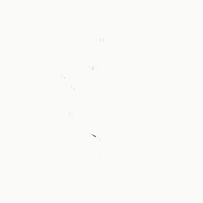 CC1C[C@H](N2CC(Oc3ccccc3Cl)=CC2=O)C(=O)N1c1ccn(C[C@@H](N)CO)n1